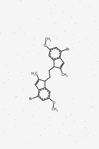 COc1cc(Br)c2c(c1)C(CCC1C(C)=Cc3c(Br)cc(OC)cc31)C(C)=C2